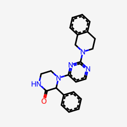 O=C1NCCN(c2ccnc(N3CCc4ccccc4C3)n2)C1c1ccccc1